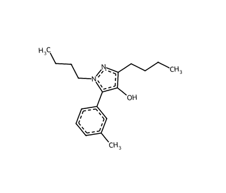 CCCCc1nn(CCCC)c(-c2cccc(C)c2)c1O